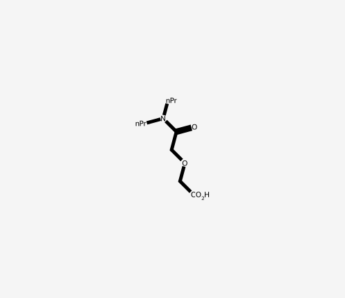 CCCN(CCC)C(=O)COCC(=O)O